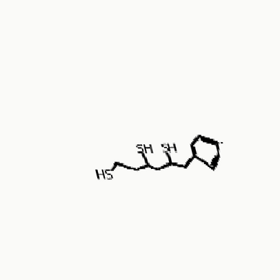 SCCC(S)CC(S)Cc1cc[c]cc1